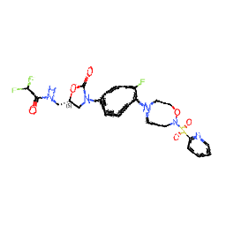 O=C(NC[C@H]1CN(c2ccc(N3CCON(S(=O)(=O)c4ccccn4)CC3)c(F)c2)C(=O)O1)C(F)F